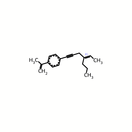 C=C(C)c1ccc(C#CC/C(=C/C)CCC)cc1